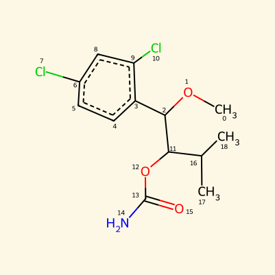 COC(c1ccc(Cl)cc1Cl)C(OC(N)=O)C(C)C